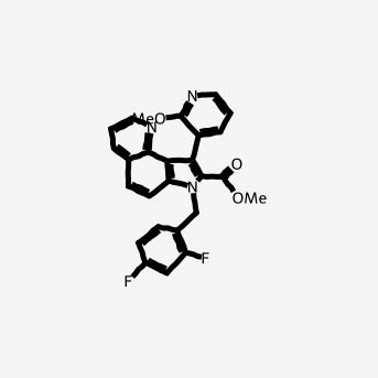 COC(=O)c1c(-c2cccnc2OC)c2c3ncccc3ccc2n1Cc1ccc(F)cc1F